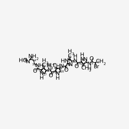 C=C(Br)C(=O)Nc1n[nH]c(C(=O)Nc2nc(C(=O)Nc3c[nH]c(C(=O)Nc4c[nH]c(C(=O)NCCC(N)=NO)c4C)c3C)[nH]c2C)c1C